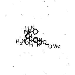 COCCOc1cnc2cc(Nc3nc(N[C@@H]4CCCC[C@@H]4N)c(F)cc3C(N)=O)ccc2n1